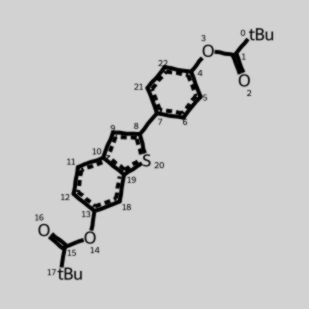 CC(C)(C)C(=O)Oc1ccc(-c2cc3ccc(OC(=O)C(C)(C)C)cc3s2)cc1